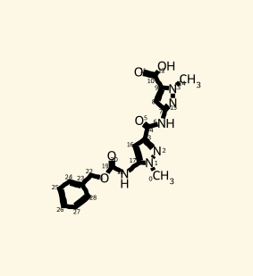 Cn1nc(C(=O)Nc2cc(C(=O)O)n(C)n2)cc1NC(=O)OCc1ccccc1